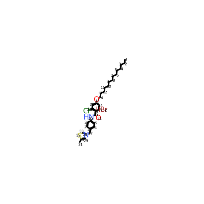 Br.CCCCCCCCCCCCCCOc1ccc(C(=O)Nc2ccc(CN3C=C(C)SC3)cc2)c(Cl)c1